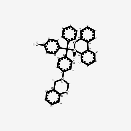 O=P1(C(c2ccccc2)(c2ccc(O)cc2)c2ccc(N3COc4ccccc4C3)cc2)Oc2ccccc2-c2ccccc21